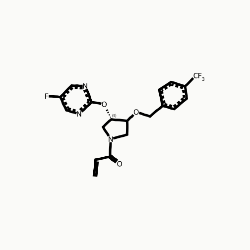 C=CC(=O)N1CC(OCc2ccc(C(F)(F)F)cc2)[C@@H](Oc2ncc(F)cn2)C1